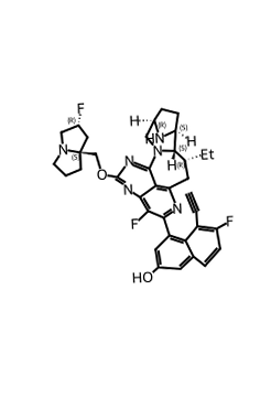 C#Cc1c(F)ccc2cc(O)cc(-c3nc4c5c(nc(OC[C@@]67CCCN6C[C@H](F)C7)nc5c3F)N3C[C@H]5CC[C@H](N5)[C@@H]3[C@H](CC)C4)c12